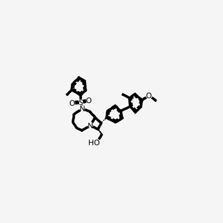 COc1ccc(-c2ccc([C@H]3C4CN(S(=O)(=O)c5ccccc5C)CCCCN4[C@@H]3CO)cc2)c(C)c1